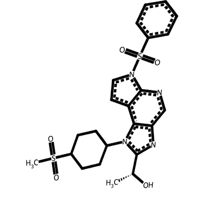 C[C@@H](O)c1nc2cnc3c(ccn3S(=O)(=O)c3ccccc3)c2n1C1CCC(S(C)(=O)=O)CC1